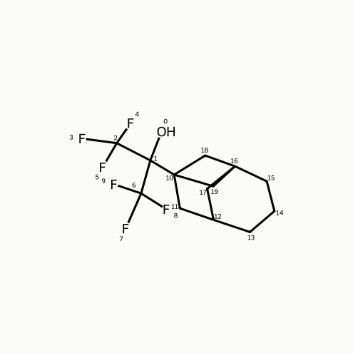 OC(C(F)(F)F)(C(F)(F)F)C12CC3CCCC(C3)(C1)C2